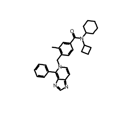 Cc1cc(C(=O)N(C2CCCCC2)C2CCC2)ccc1Cn1ccc2ncnc-2c1-c1ccccc1